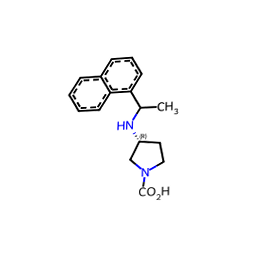 CC(N[C@@H]1CCN(C(=O)O)C1)c1cccc2ccccc12